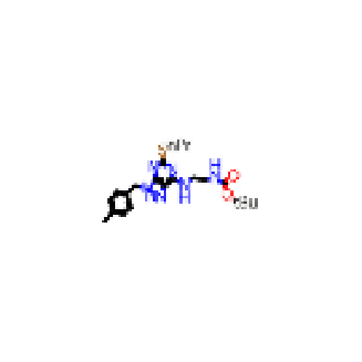 CCCSc1nc(NCCNC(=O)OC(C)(C)C)c2nnn(Cc3ccc(C)cc3)c2n1